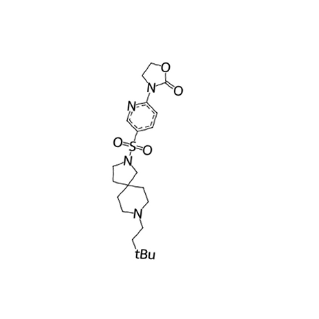 CC(C)(C)CCN1CCC2(CC1)CCN(S(=O)(=O)c1ccc(N3CCOC3=O)nc1)C2